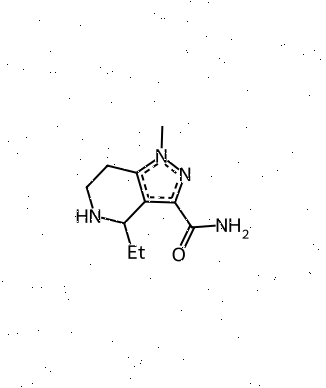 CCC1NCCc2c1c(C(N)=O)nn2C